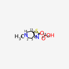 CN1CCc2nc(OC(=O)O)sc2CC1